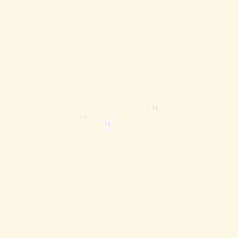 CCCN/C=C/C#N